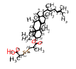 CC(C)=CCC[C@@H](C)[C@H]1CC[C@@]2(C)C3=C(CC[C@]12C)[C@@]1(C)CCC(OC(=O)C(C)CSSCC(C)C(=O)O)C(C)(C)[C@@H]1CC3